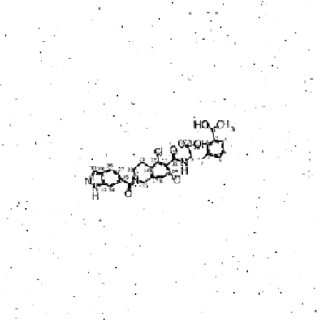 C[C@H](O)c1cccc(C[C@H](NC(=O)c2c(Cl)cc3c(c2Cl)CCN(C(=O)c2ccc4cn[nH]c4c2)C3)C(=O)O)c1